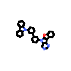 c1cc(-c2cccc(-n3c4cncnc4c4c5ccccc5oc43)c2)cc(-n2c3ccccc3c3ccccc32)c1